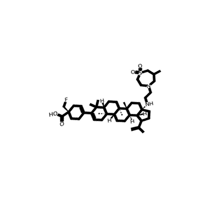 C=C(C)C1CC[C@]2(NCCN3CCS(=O)(=O)CC(C)C3)CC[C@]3(C)[C@H](CC[C@@H]4[C@@]5(C)CC=C(C6=CC[C@@](CF)(C(=O)O)CC6)C(C)(C)[C@@H]5CC[C@]43C)[C@@H]12